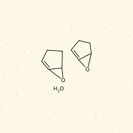 C1=C2OC2CC1.C1=C2OC2CC1.O